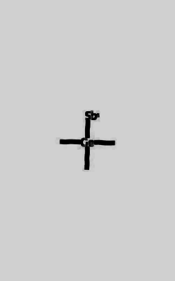 [CH3][Ge]([CH3])([CH3])[Sb]